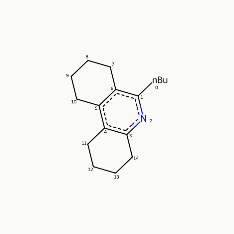 CCCCc1nc2c(c3c1CCCC3)CCCC2